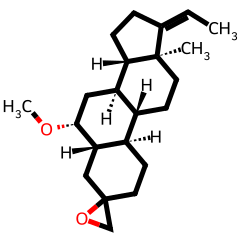 C/C=C1/CC[C@H]2[C@@H]3C[C@@H](OC)[C@H]4CC5(CC[C@@H]4[C@H]3CC[C@]12C)CO5